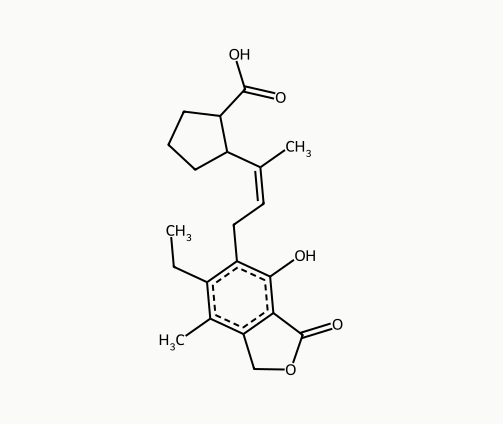 CCc1c(C)c2c(c(O)c1CC=C(C)C1CCCC1C(=O)O)C(=O)OC2